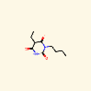 CCCCN1C(=O)NC(=O)C(CC)C1=O